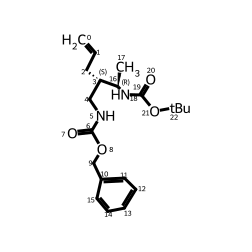 C=CC[C@@H](CNC(=O)OCc1ccccc1)[C@@H](C)NC(=O)OC(C)(C)C